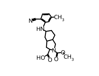 COC(=O)N1CC2CCC(Nc3cc(C)ccc3C#N)CC2CC1C(=O)O